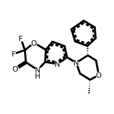 C[C@@H]1CN(c2ccc3c(n2)NC(=O)C(F)(F)O3)[C@H](c2ccccc2)CO1